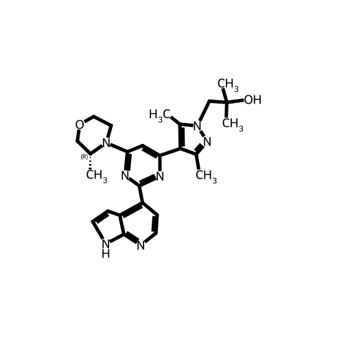 Cc1nn(CC(C)(C)O)c(C)c1-c1cc(N2CCOC[C@H]2C)nc(-c2ccnc3[nH]ccc23)n1